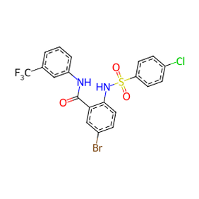 O=C(Nc1cccc(C(F)(F)F)c1)c1cc(Br)ccc1NS(=O)(=O)c1ccc(Cl)cc1